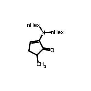 CCCCCCN(CCCCCC)C1=CCC(C)C1=O